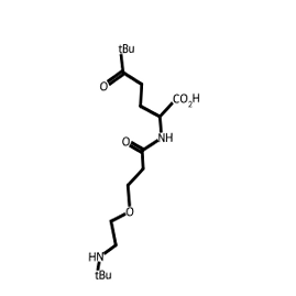 CC(C)(C)NCCOCCC(=O)NC(CCC(=O)C(C)(C)C)C(=O)O